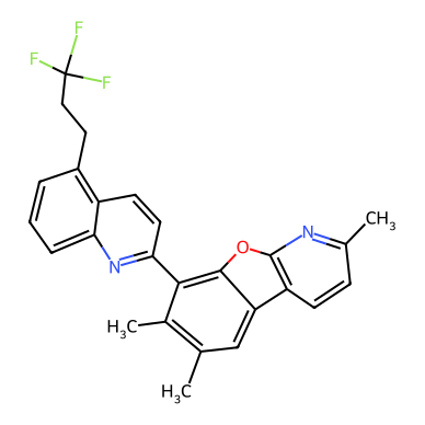 Cc1ccc2c(n1)oc1c(-c3ccc4c(CCC(F)(F)F)cccc4n3)c(C)c(C)cc12